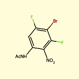 CC(=O)Nc1cc(F)c(Br)c(F)c1[N+](=O)[O-]